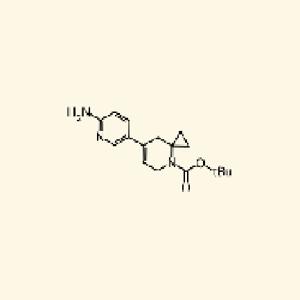 CC(C)(C)OC(=O)N1CC=C(c2ccc(N)nc2)CC12CC2